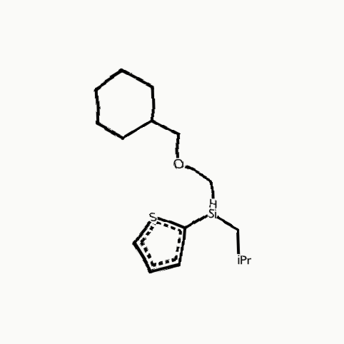 CC(C)C[SiH](COCC1CCCCC1)c1cccs1